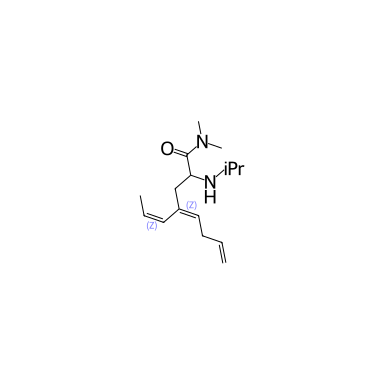 C=CC/C=C(\C=C/C)CC(NC(C)C)C(=O)N(C)C